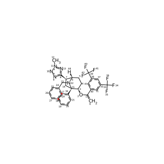 C=C(O[C@@H]1CC[C@H]2[C@H](c3nnn(C)n3)C[C@]1(c1ccccc1)N2Cc1ccccc1)c1cc(C(F)(F)F)cc(C(F)(F)F)c1